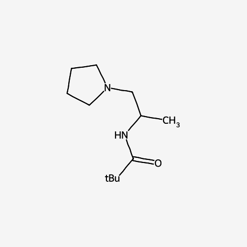 CC(CN1CCCC1)NC(=O)C(C)(C)C